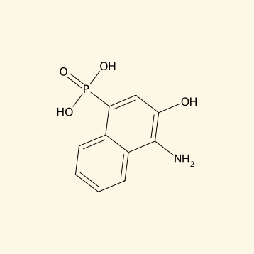 Nc1c(O)cc(P(=O)(O)O)c2ccccc12